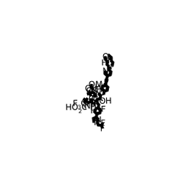 COC(=O)N[C@H](C(=O)N[C@@H](Cc1ccc(C#Cc2ccc(N3CCN4CCOC[C@H]4C3)nc2)cc1)[C@@H](O)CN(Cc1c(F)cc(-c2ccn(CC(F)F)n2)cc1F)NC(=O)[C@@H](NC(=O)O)C(C)(C)C(F)(F)F)C(C)(C)C(F)(F)F